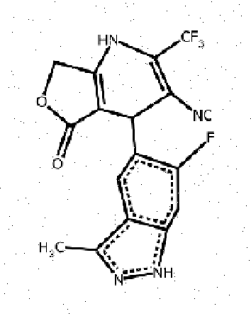 [C-]#[N+]C1=C(C(F)(F)F)NC2=C(C(=O)OC2)C1c1cc2c(C)n[nH]c2cc1F